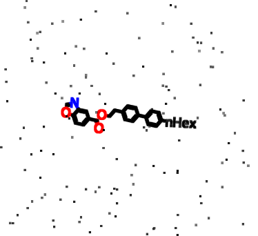 CCCCCCc1ccc(-c2ccc(CCOC(=O)c3ccc4ocnc4c3)cc2)cc1